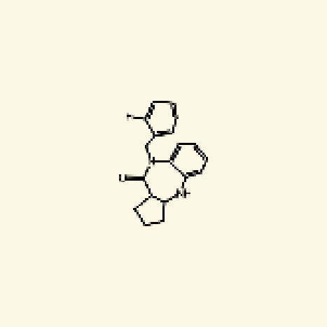 O=C1C2CCCC2Nc2ccccc2N1Cc1ccccc1F